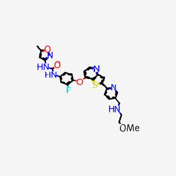 COCCNCc1ccc(-c2cc3nccc(Oc4ccc(NC(=O)Nc5cc(C)on5)cc4F)c3s2)nc1